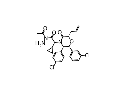 C=CC[C@@H]1O[C@@H](c2cccc(Cl)c2)[C@@H](c2ccc(Cl)cc2)N(C(C(=O)N(N)C(C)=O)C2CC2)C1=O